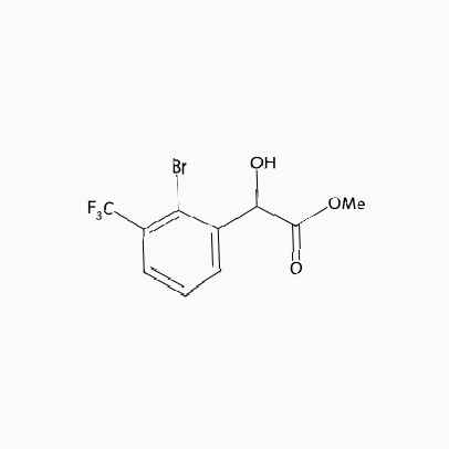 COC(=O)C(O)c1cccc(C(F)(F)F)c1Br